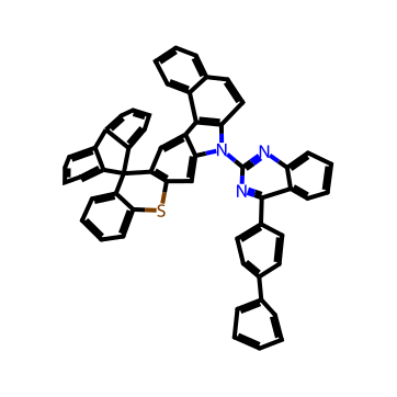 c1ccc(-c2ccc(-c3nc(-n4c5cc6c(cc5c5c7ccccc7ccc54)C4(c5ccccc5S6)c5ccccc5-c5ccccc54)nc4ccccc34)cc2)cc1